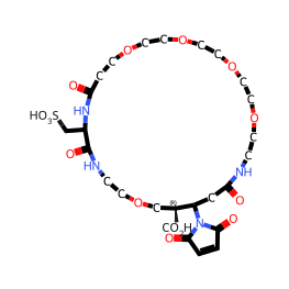 O=C1CC(N2C(=O)C=CC2=O)[C@@H](C(=O)O)COCCNC(=O)C(CS(=O)(=O)O)NC(=O)CCOCCOCCOCCOCCN1